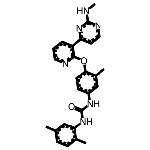 CNc1nccc(-c2cccnc2Oc2ccc(NC(=O)Nc3cc(C)ccc3C)cc2C)n1